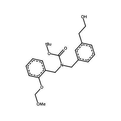 COCOc1ccccc1CN(Cc1cccc(CCO)c1)C(=O)OC(C)(C)C